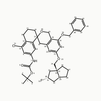 CC(C)(C)OC(=O)Nc1cc(Cl)c2c(c1)C1(CCC2)Cc2nc(OC[C@@]34CCCN3C[C@H](F)C4)nc(OCc3ccccc3)c2CO1